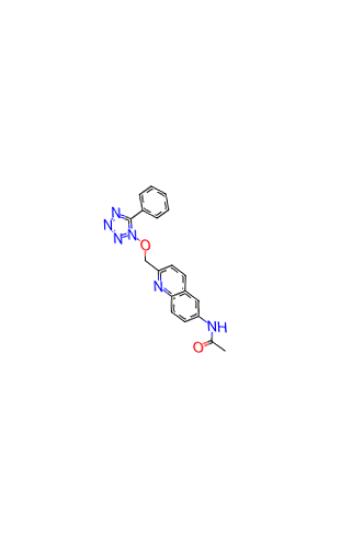 CC(=O)Nc1ccc2nc(COn3nnnc3-c3ccccc3)ccc2c1